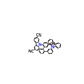 N#Cc1ccc(-n2c3ccc(C#N)cc3c3ccc(C#N)cc32)c(-c2ccccc2-c2cccc(-n3c4ccccc4c4ccccc43)c2)c1